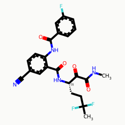 CNC(=O)C(=O)[C@H](CCC(C)(F)F)NC(=O)c1cc(C#N)ccc1NC(=O)c1cccc(F)c1